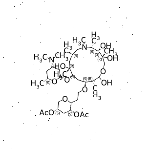 CC(=O)O[C@@H]1COC(CCO[C@H]2C[C@@H](O[C@H]3C[C@@H](N(C)C)C[C@@H](C)O3)[C@](C)(O)C[C@@H](C)CN(C)[C@H](C)[C@@H](O)[C@](C)(O)COC(O)[C@@H]2C)[C@@H](OC(C)=O)C1